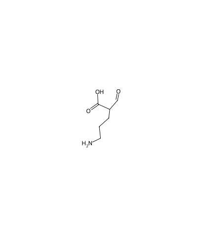 NCCCC(C=O)C(=O)O